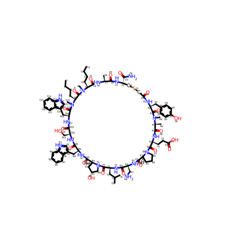 CCCC[C@H]1C(=O)N(C)[C@@H](CCCC)C(=O)N[C@@H](C)C(=O)N[C@H](C(N)=O)CSCC(=O)N[C@@H](Cc2ccc(O)cc2)C(=O)N(C)[C@@H](C)C(=O)N[C@@H](CCC(=O)O)C(=O)N2CCC[C@H]2C(=O)N[C@@H](CN)C(=O)N[C@@H](CC(C)C)C(=O)N2C[C@H](O)C[C@H]2C(=O)N[C@@H](Cc2c[nH]c3ccccc23)C(=O)N[C@@H](CO)C(=O)N[C@@H](Cc2c[nH]c3ccccc23)C(=O)N1C